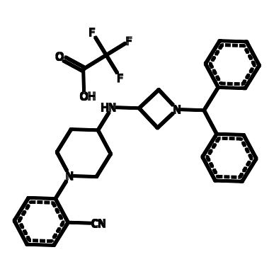 N#Cc1ccccc1N1CCC(NC2CN(C(c3ccccc3)c3ccccc3)C2)CC1.O=C(O)C(F)(F)F